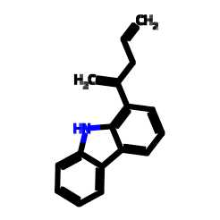 C=CCC(=C)c1cccc2c1[nH]c1ccccc12